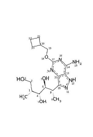 C[C@H](CO)[C@@H](O)[C@@H](O)[C@@H](C)c1n[nH]c2c(N)nc(OCC3CCC3)nc12